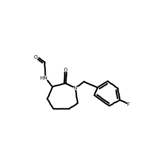 O=CNC1CCCCN(Cc2ccc(F)cc2)C1=O